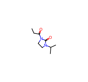 CCC(=O)N1CCN(C(C)C)C1=O